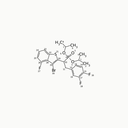 CC(C)OP(=O)(OC(C)C)C(Cc1ccc(F)c(F)c1)c1sc2cccc(F)c2c1Br